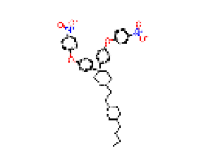 CCCCC1CCC(CCC2CCC(c3ccc(Oc4ccc([N+](=O)[O-])cc4)cc3)(c3ccc(Oc4ccc([N+](=O)[O-])cc4)cc3)CC2)CC1